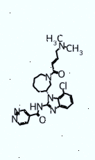 CN(C)CC=CC(=O)N1CCCC[C@@H](n2c(NC(=O)c3ccnnc3)nc3cccc(Cl)c32)C1